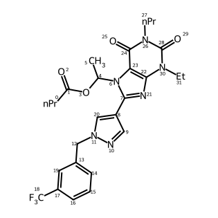 CCCC(=O)OC(C)n1c(-c2cnn(Cc3cccc(C(F)(F)F)c3)c2)nc2c1c(=O)n(CCC)c(=O)n2CC